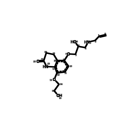 C=CCNCC(O)COc1ccc(OCCO)c2c1CCC(=O)N2